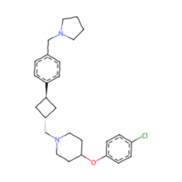 Clc1ccc(OC2CCN(C[C@H]3C[C@H](c4ccc(CN5CCCC5)cc4)C3)CC2)cc1